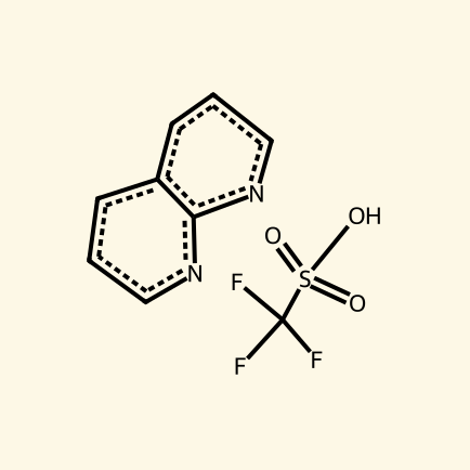 O=S(=O)(O)C(F)(F)F.c1cnc2ncccc2c1